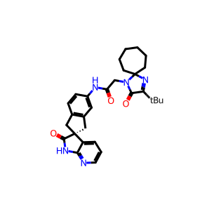 CC(C)(C)C1=NC2(CCCCCC2)N(CC(=O)Nc2ccc3c(c2)C[C@@]2(C3)C(=O)Nc3ncccc32)C1=O